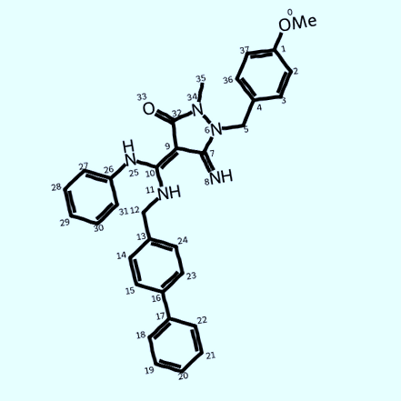 COc1ccc(CN2C(=N)/C(=C(\NCc3ccc(-c4ccccc4)cc3)Nc3ccccc3)C(=O)N2C)cc1